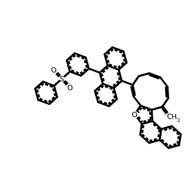 C=C1/C=C\C=C/C/C(c2c3ccccc3c(-c3cccc(S(=O)(=O)c4ccccc4)c3)c3ccccc23)=C\c2oc3ccc4ccccc4c3c21